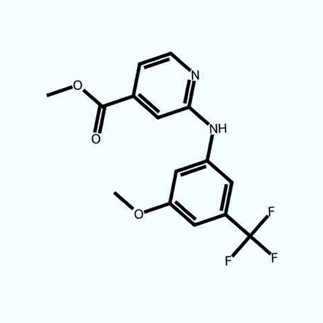 COC(=O)c1ccnc(Nc2cc(OC)cc(C(F)(F)F)c2)c1